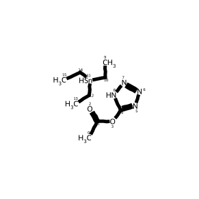 CC(=O)Oc1nnn[nH]1.C[CH2][SnH]([CH2]C)[CH2]C